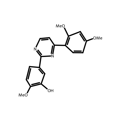 COc1ccc(-c2ccnc(-c3ccc(OC)c(O)c3)n2)c(OC)c1